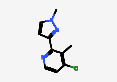 Cc1c(Cl)ccnc1-c1ccn(C)n1